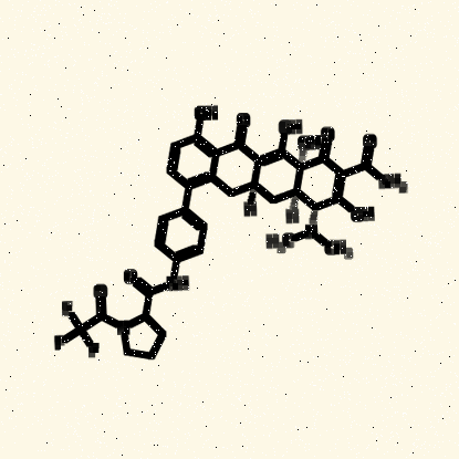 CN(C)[C@H]1C(O)=C(C(N)=O)C(=O)[C@]2(O)C(O)=C3C(=O)c4c(O)ccc(-c5ccc(NC(=O)C6CCCN6C(=O)C(F)(F)F)cc5)c4C[C@@H]3C[C@H]12